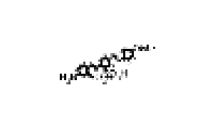 COc1ccc(N=Nc2ccc(C=Cc3ccc(N)cc3S(=O)(=O)O)c(S(=O)(=O)O)c2)cc1